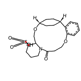 O=C1CCOc2ccccc2[C@H]2CC[C@H](CC2)OCC2N1CCCC21CCCS(=O)(=O)N1